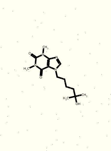 Cn1c(=O)c2c(ncn2CCCCC(C)(C)O)n(C)c1=O